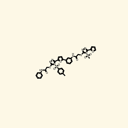 Cc1ccc(S(=O)(=O)n2c(SCC(=O)Nc3ccccc3)nnc2-c2ccc(-c3cccc(NC(=O)CSc4nnc(-c5ccco5)n4S(C)(=O)=O)c3)o2)cc1